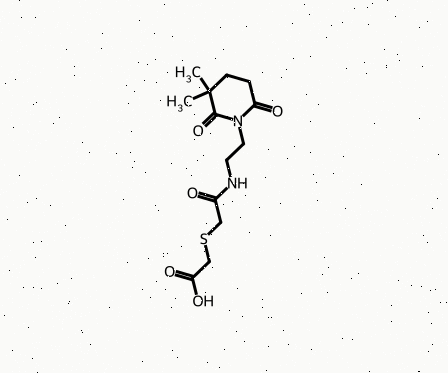 CC1(C)CCC(=O)N(CCNC(=O)CSCC(=O)O)C1=O